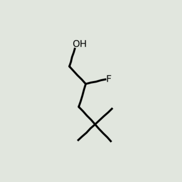 CC(C)(C)CC(F)CO